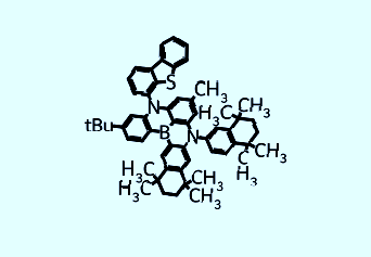 Cc1cc2c3c(c1)N(c1cccc4c1sc1ccccc14)c1cc(C(C)(C)C)ccc1B3c1cc3c(cc1N2c1ccc2c(c1)C(C)(C)CCC2(C)C)C(C)(C)CCC3(C)C